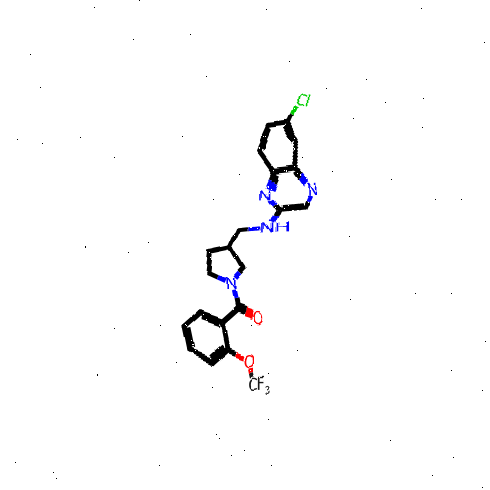 O=C(c1ccccc1OC(F)(F)F)N1CCC(CNc2cnc3cc(Cl)ccc3n2)C1